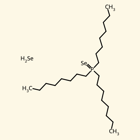 CCCCCCCCP(=[Se])(CCCCCCCC)CCCCCCCC.[SeH2]